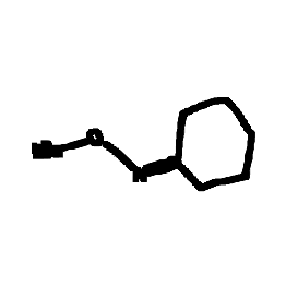 CCCCON=C1CCCCC1